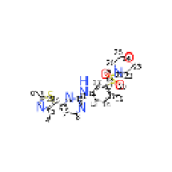 Cc1nc(C)c(-c2ccnc(Nc3ccc(C)c(S(=O)(=O)N4CCOCC4)c3)n2)s1